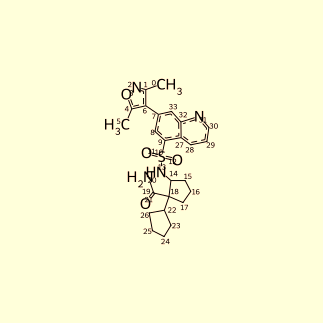 Cc1noc(C)c1-c1cc(S(=O)(=O)NC2CCCC2(C(N)=O)C2CCCC2)c2cccnc2c1